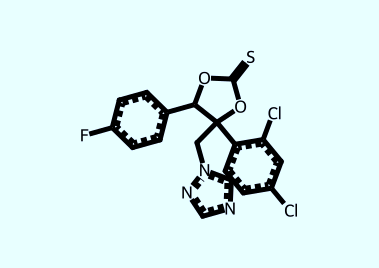 Fc1ccc(C2OC(=S)OC2(Cn2cncn2)c2ccc(Cl)cc2Cl)cc1